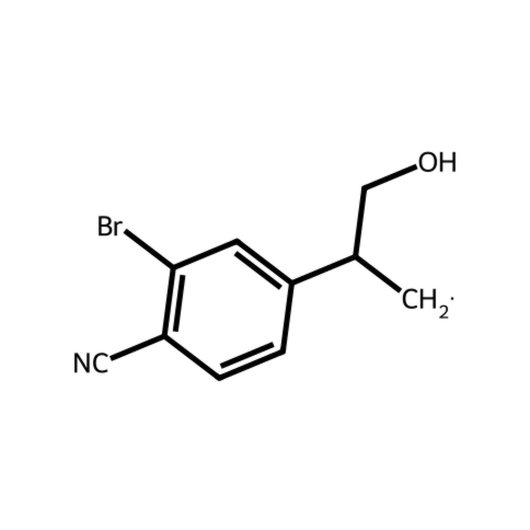 [CH2]C(CO)c1ccc(C#N)c(Br)c1